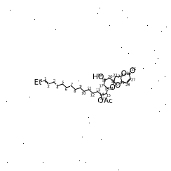 CC/C=C/CCCCCCCCCCCC(CC1CC(O)CC2(CC3OC(=O)C=CC3O2)O1)OC(C)=O